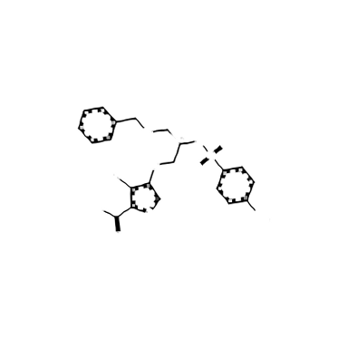 Cc1ccc(S(=O)(=O)O[C@H](COCc2ccccc2)COc2csc(C(=O)O)c2N)cc1